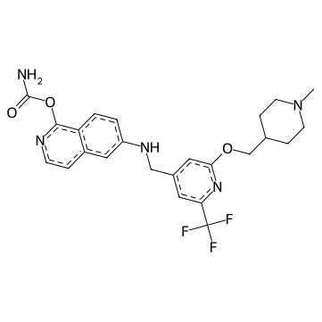 CN1CCC(COc2cc(CNc3ccc4c(OC(N)=O)nccc4c3)cc(C(F)(F)F)n2)CC1